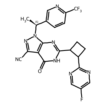 C[C@@H](c1ccc(C(F)(F)F)nc1)n1nc(C#N)c2c(=O)[nH]c(C3CCC3c3ncc(F)cn3)nc21